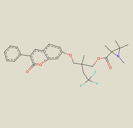 CN1C(C)(C)C1(C)C(=O)OCC(C)(COc1ccc2cc(-c3ccccc3)c(=O)oc2c1)CC(F)(F)F